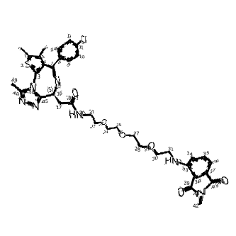 Cc1sc2c(c1C)C(c1ccc(Cl)cc1)=N[C@@H](CC(=O)NCCOCCOCCOCCNc1cccc3c1C(=O)N(C)C3=O)c1nnc(C)n1-2